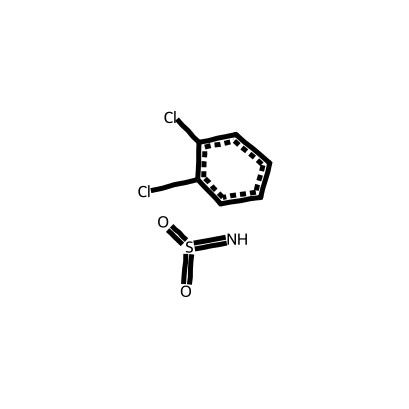 Clc1ccccc1Cl.N=S(=O)=O